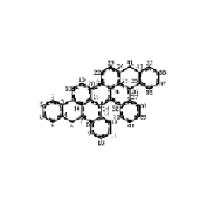 c1ccc2c(c1)Cc1c3ccccc3c3c4c1c-2ccc4c1ccc2c4c(c5ccccc5c3c41)-c1ccccc1C2